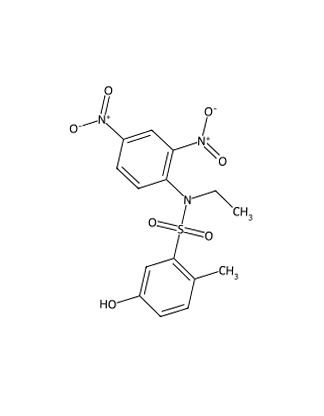 CCN(c1ccc([N+](=O)[O-])cc1[N+](=O)[O-])S(=O)(=O)c1cc(O)ccc1C